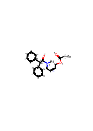 CCN(C/C=C\COC(=O)OC)C(=O)C(c1ccccc1)c1ccccc1